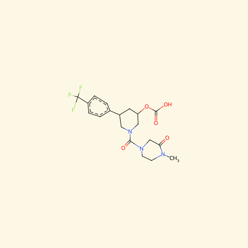 CN1CCN(C(=O)N2CC(OC(=O)O)CC(c3ccc(C(F)(F)F)cc3)C2)CC1=O